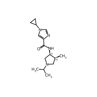 CC(C)N1C[C@H](C)[C@H](NC(=O)c2cn(C3CC3)cn2)C1